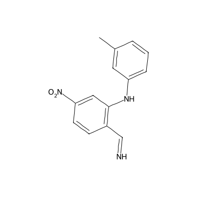 Cc1cccc(Nc2cc([N+](=O)[O-])ccc2C=N)c1